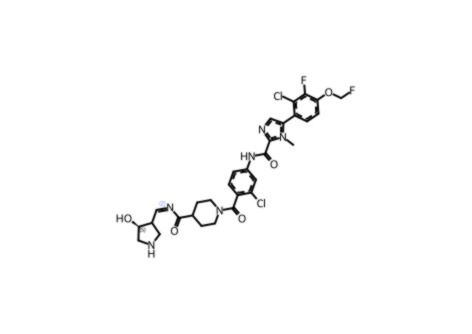 Cn1c(-c2ccc(OCF)c(F)c2Cl)cnc1C(=O)Nc1ccc(C(=O)N2CCC(C(=O)/N=C\C3CNC[C@H]3O)CC2)c(Cl)c1